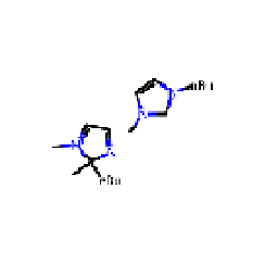 CCCCC1(C)N=CC=[N+]1C.CCCCN1C=CN(C)C1